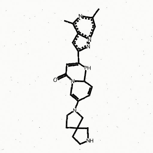 Cc1cn2nc(C3=CC(=O)N4C=C(N5CCC6(CCNC6)C5)C=CC4P3)cc2c(C)n1